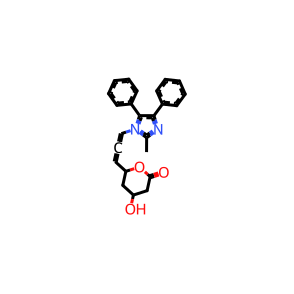 Cc1nc(-c2ccccc2)c(-c2ccccc2)n1C=C=CC1CC(O)CC(=O)O1